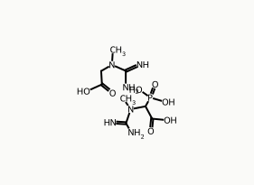 CN(C(=N)N)C(C(=O)O)P(=O)(O)O.CN(CC(=O)O)C(=N)N